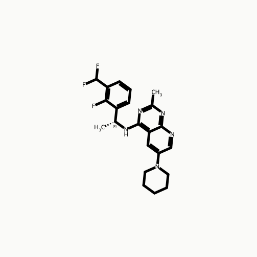 Cc1nc(N[C@H](C)c2cccc(C(F)F)c2F)c2cc(N3CCCCC3)cnc2n1